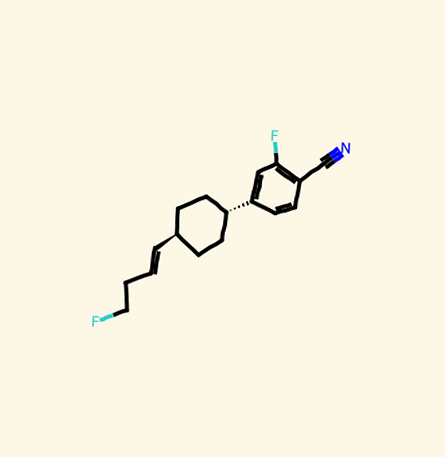 N#Cc1ccc([C@H]2CC[C@H](/C=C/CCF)CC2)cc1F